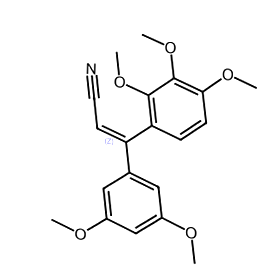 COc1cc(OC)cc(/C(=C/C#N)c2ccc(OC)c(OC)c2OC)c1